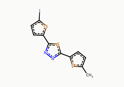 Cc1ccc(-c2nnc(-c3ccc(I)s3)s2)s1